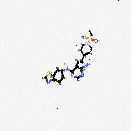 CCS(=O)(=O)N1CC=C(c2cc3c(Nc4ccc5ncsc5c4)ncnc3[nH]2)CC1